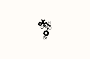 CC1(C)C2(CCC2)C12C[C@H]1CO[C@H](c3ccc(Br)cc3)N1C2=O